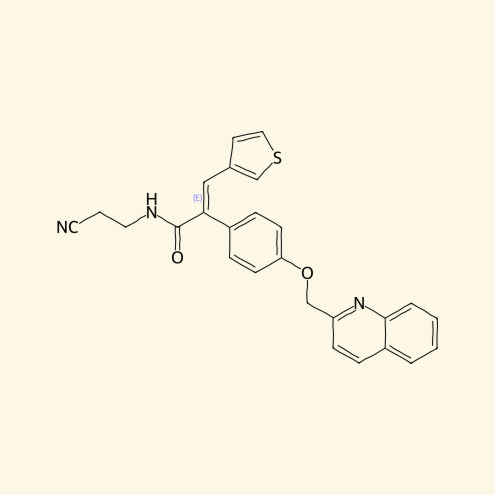 N#CCCNC(=O)/C(=C/c1ccsc1)c1ccc(OCc2ccc3ccccc3n2)cc1